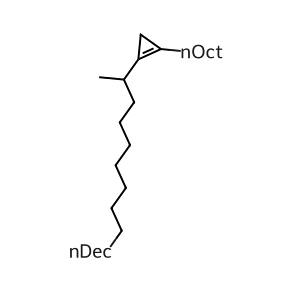 CCCCCCCCCCCCCCCCCC(C)C1=C(CCCCCCCC)C1